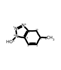 CC1C=Cc2c(nnn2O)C1